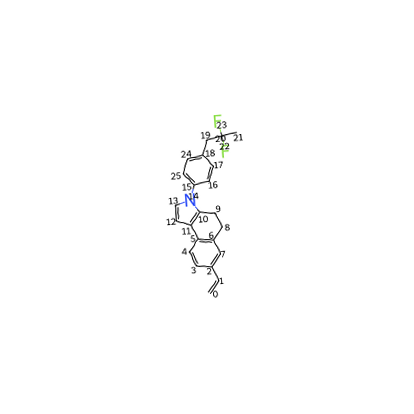 C=Cc1ccc2c(c1)CCc1c-2ccn1-c1ccc(CC(C)(F)F)cc1